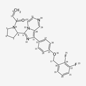 C=CC(=O)N1CCCC1c1nc(-c2ccc(OCc3cccc(F)c3F)cc2)c2cnccn12